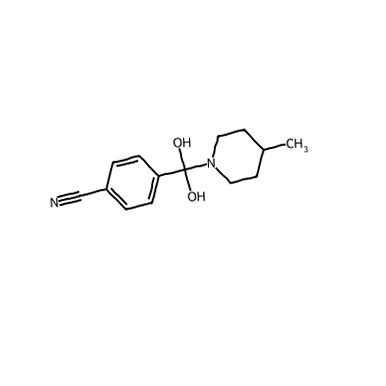 CC1CCN(C(O)(O)c2ccc(C#N)cc2)CC1